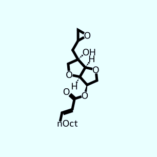 CCCCCCCCC=CC(=O)O[C@@H]1CO[C@H]2[C@@H]1OC[C@@]2(O)CC1CO1